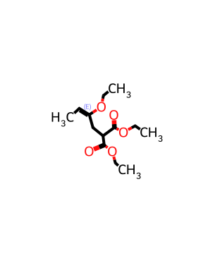 C/C=C(\CC(C(=O)OCC)C(=O)OCC)OCC